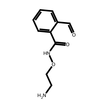 NCCONC(=O)c1ccccc1C=O